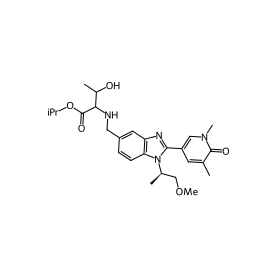 COC[C@@H](C)n1c(-c2cc(C)c(=O)n(C)c2)nc2cc(CNC(C(=O)OC(C)C)C(C)O)ccc21